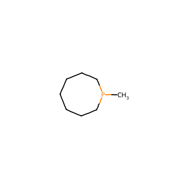 CP1CCCCCCC1